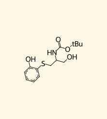 CC(C)(C)OC(=O)NC(CO)CSc1ccccc1O